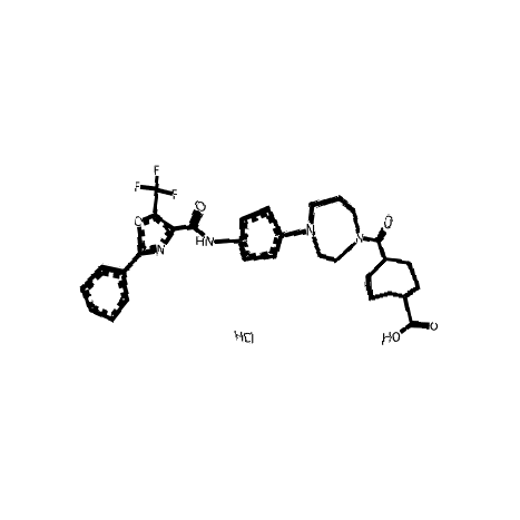 Cl.O=C(Nc1ccc(N2CCCN(C(=O)C3CCC(C(=O)O)CC3)CC2)cc1)c1nc(-c2ccccc2)oc1C(F)(F)F